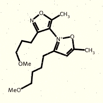 COCCCCc1cc(C)o[n+]1-c1c(CCCOC)noc1C